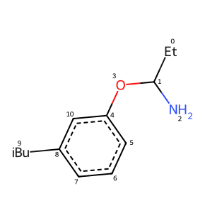 CCC(N)Oc1cccc(C(C)CC)c1